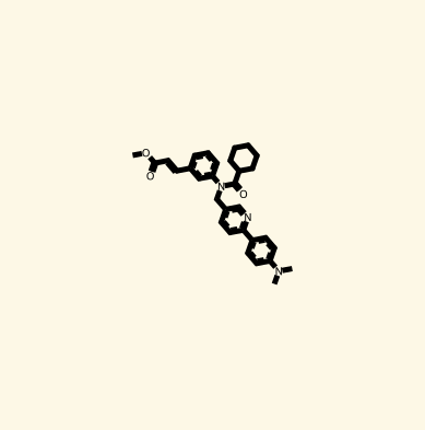 COC(=O)/C=C/c1cccc(N(Cc2ccc(-c3ccc(N(C)C)cc3)nc2)C(=O)C2CCCCC2)c1